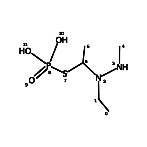 CCN(NC)C(C)SP(=O)(O)O